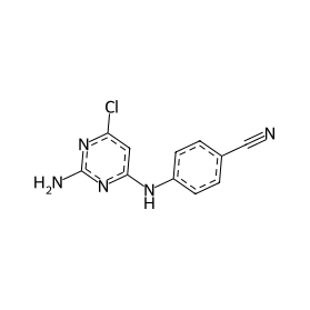 N#Cc1ccc(Nc2cc(Cl)nc(N)n2)cc1